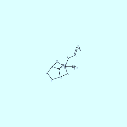 C=CCC1(N)CC2CCC(C1)N2C